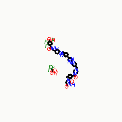 Cc1ccc(C(=O)N2CCN(CC3CCN(c4ncc(-c5ccc6cn(C7CCC(CNC(=O)c8cc(F)c(O)c(F)c8F)CC7)nc6c5)cn4)CC3)CC2)cc1N1CCC(=O)NC1=O.O=C(O)C(F)(F)F